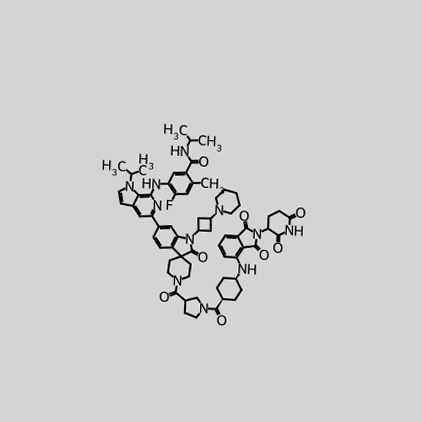 Cc1cc(F)c(Nc2nc(-c3ccc4c(c3)N(C3CC(N5CCCCC5)C3)C(=O)C43CCN(C(=O)C4CCN(C(=O)[C@H]5CC[C@@H](Nc6cccc7c6C(=O)N(C6CCC(=O)NC6=O)C7=O)CC5)C4)CC3)cc3ccn(C(C)C)c23)cc1C(=O)NC(C)C